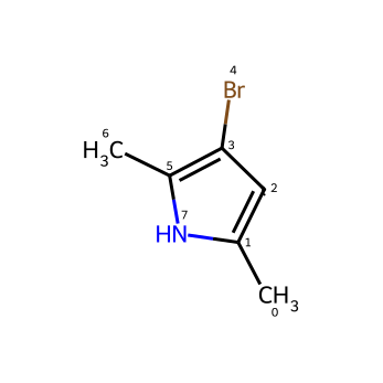 Cc1[c]c(Br)c(C)[nH]1